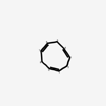 [C]1=CCC=CCC=CC1